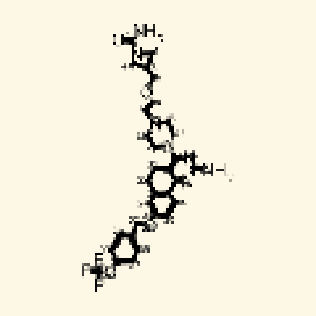 NC(=O)N1CC(COCCN2CCN(c3nc(N)nc4c3CCc3cc(OCc5ccc(OC(F)(F)F)cc5)ccc3-4)CC2)C1